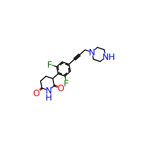 O=C1CCC(c2c(F)cc(C#CCN3CCNCC3)cc2F)C(=O)N1